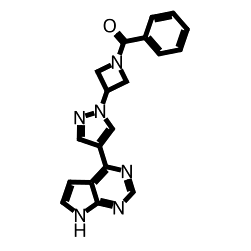 O=C(c1ccccc1)N1CC(n2cc(-c3ncnc4[nH]ccc34)cn2)C1